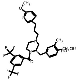 COc1ccc(CCCN2CCN(C(=O)c3cc(C(F)(F)F)cc(C(F)(F)F)c3)[C@H](Cc3ccc(C)c(C)c3)C2)cn1.Cl.Cl